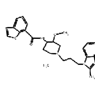 COC1CN(CCCn2c(C)nc3ccccc32)CCC1NC(=O)c1cccc2ccoc12.O